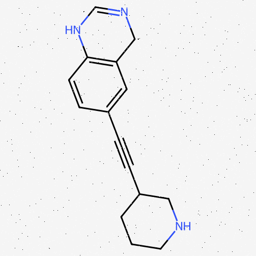 C(#CC1CCCNC1)c1ccc2c(c1)[CH]N=CN2